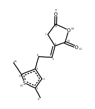 Cc1cc(CC=C2CC(=O)OC2=O)c(C)s1